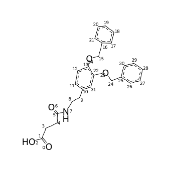 O=C(O)CCC(=O)NCCc1ccc(OCc2ccccc2)c(OCc2ccccc2)c1